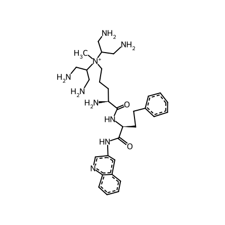 C[N+](CCC[C@H](N)C(=O)N[C@@H](CCc1ccccc1)C(=O)Nc1cnc2ccccc2c1)(C(CN)CN)C(CN)CN